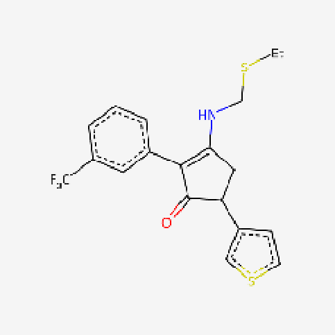 CCSCNC1=C(c2cccc(C(F)(F)F)c2)C(=O)C(c2ccsc2)C1